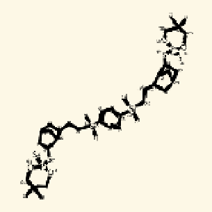 CC1(C)COP(=S)(SC2CC3CC(CC[Si](C)(C)c4ccc([Si](C)(C)CCC5CC6CC(SP7(=S)OCC(C)(C)CO7)C5C6)cc4)C2C3)OC1